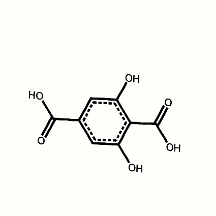 O=C(O)c1cc(O)c(C(=O)O)c(O)c1